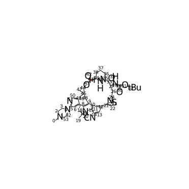 CN1CCN(c2cc(-c3c4c5cc(ccc5n3C(C)(C)C#N)-c3csc(n3)C[C@H](NC(=O)OC(C)(C)C)C(=O)N3CCC[C@H](N3)C(=O)OCC(C)(C)C4)ccn2)CC1